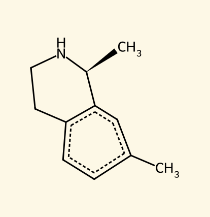 Cc1ccc2c(c1)[C@H](C)NCC2